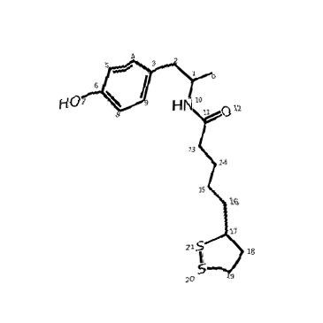 CC(Cc1ccc(O)cc1)NC(=O)CCCCC1CCSS1